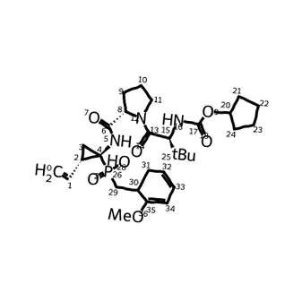 C=C[C@@H]1C[C@]1(NC(=O)[C@@H]1CCCN1C(=O)[C@@H](NC(=O)OC1CCCC1)C(C)(C)C)P(=O)(O)CC1CC=CC=C1OC